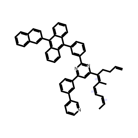 C=CCC/C(=C(C)/C=C\C=C/C)c1cc(-c2cccc(-c3cccnc3)c2)nc(-c2cccc(-c3c4ccccc4c(-c4ccc5ccccc5c4)c4ccccc34)c2)n1